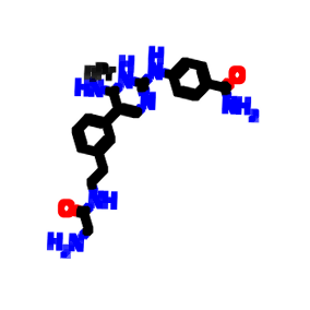 CCCNC1NC(Nc2ccc(C(N)=O)cc2)=NC=C1c1cccc(CCNC(=O)CN)c1